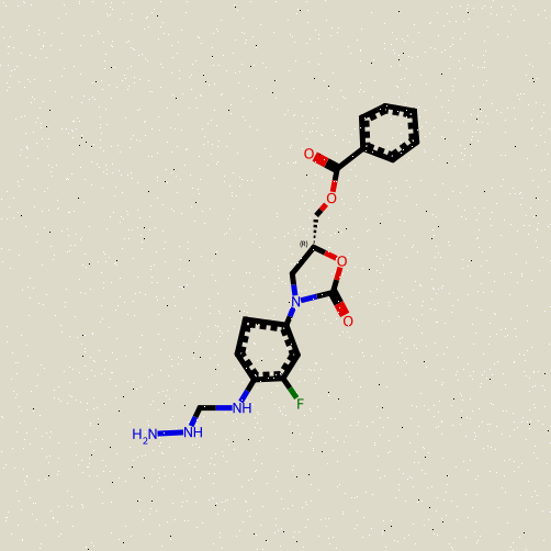 NNCNc1ccc(N2C[C@H](COC(=O)c3ccccc3)OC2=O)cc1F